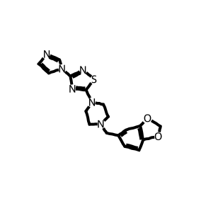 c1cn(-c2nsc(N3CCN(Cc4ccc5c(c4)OCO5)CC3)n2)cn1